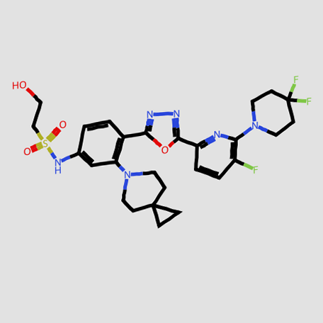 O=S(=O)(CCO)Nc1ccc(-c2nnc(-c3ccc(F)c(N4CCC(F)(F)CC4)n3)o2)c(N2CCC3(CC2)CC3)c1